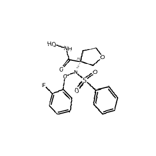 O=C(NO)[C@@]1(N(Oc2ccccc2F)S(=O)(=O)c2ccccc2)CCOC1